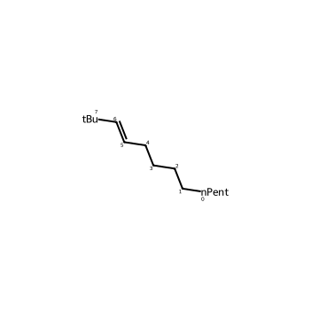 CCCCCCCCCC=CC(C)(C)C